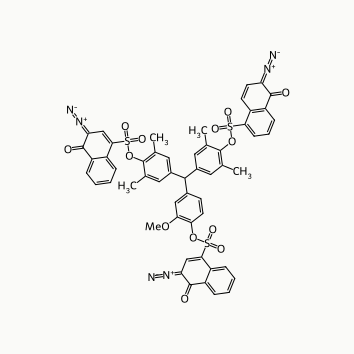 COc1cc(C(c2cc(C)c(OS(=O)(=O)C3=CC(=[N+]=[N-])C(=O)c4ccccc43)c(C)c2)c2cc(C)c(OS(=O)(=O)c3cccc4c3C=CC(=[N+]=[N-])C4=O)c(C)c2)ccc1OS(=O)(=O)C1=CC(=[N+]=[N-])C(=O)c2ccccc21